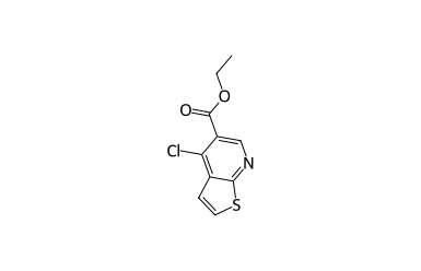 CCOC(=O)c1cnc2sccc2c1Cl